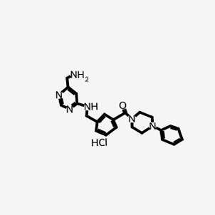 Cl.NCc1cc(NCc2cccc(C(=O)N3CCN(c4ccccc4)CC3)c2)ncn1